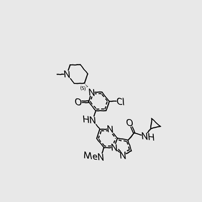 CNc1cc(Nc2cc(Cl)cn([C@H]3CCCN(C)C3)c2=O)nc2c(C(=O)NC3CC3)cnn12